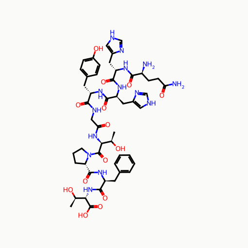 C[C@@H](O)[C@H](NC(=O)[C@H](Cc1ccccc1)NC(=O)[C@@H]1CCCN1C(=O)[C@@H](NC(=O)CNC(=O)[C@H](Cc1ccc(O)cc1)NC(=O)[C@H](Cc1c[nH]cn1)NC(=O)[C@H](Cc1c[nH]cn1)NC(=O)[C@@H](N)CCC(N)=O)[C@@H](C)O)C(=O)O